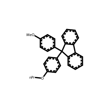 CCCOc1ccc(C2(c3ccc(OC)cc3)c3ccccc3-c3ccccc32)cc1